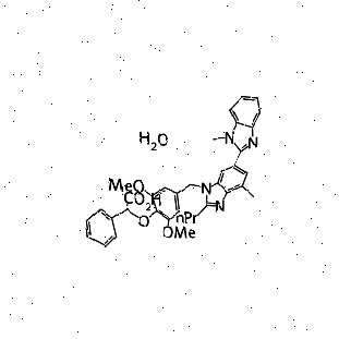 CCCc1nc2c(C)cc(-c3nc4ccccc4n3C)cc2n1Cc1cc(OC)c(OC(C(=O)O)c2ccccc2)c(OC)c1.O